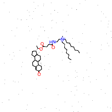 CCCCCCCC[N+](C)(CCCCCCCC)CCNC(=O)CCC(=O)OC(C)[C@H]1CCC2C3CCC4=CC(=O)CC[C@]4(C)C3CC[C@@]21C